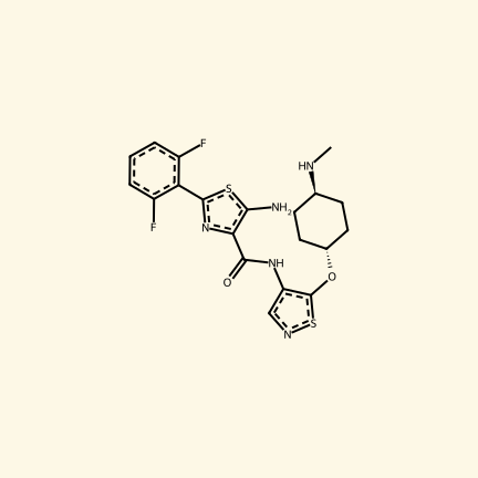 CN[C@H]1CC[C@H](Oc2sncc2NC(=O)c2nc(-c3c(F)cccc3F)sc2N)CC1